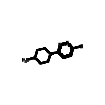 CN1CCN(c2ccc(Cl)nn2)CC1